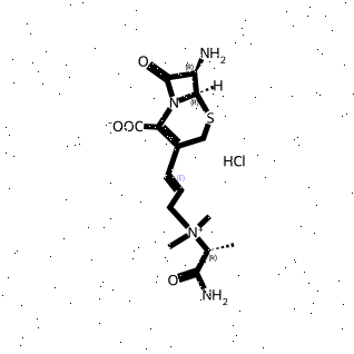 C[C@H](C(N)=O)[N+](C)(C)C/C=C/C1=C(C(=O)[O-])N2C(=O)[C@@H](N)[C@H]2SC1.Cl